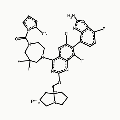 N#Cc1cccn1C(=O)N1CCN(c2nc(OC[C@@]34CCCN3C[C@H](F)C4)nc3c(F)c(-c4ccc(F)c5sc(N)nc45)c(Cl)cc23)CC(F)(F)C1